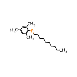 CCCCCCCCCC[P]c1c(C)cc(C)cc1C